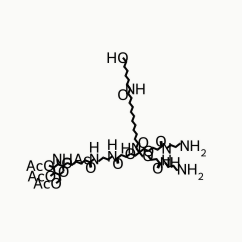 CC(=O)NC1C(OCCCCC(=O)NCCCNC(=O)CCOCC(COCCC(=O)NCCCN)(COCCC(=O)NCCCN)NC(=O)CCCCCCCCCCC(=O)NCCCCCCO)OC(COC(C)=O)C(OC(C)=O)C1OC(C)=O